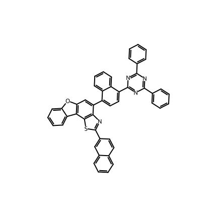 c1ccc(-c2nc(-c3ccccc3)nc(-c3ccc(-c4cc5oc6ccccc6c5c5sc(-c6ccc7ccccc7c6)nc45)c4ccccc34)n2)cc1